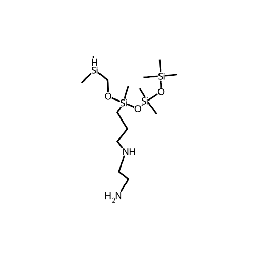 C[SiH](C)CO[Si](C)(CCCNCCN)O[Si](C)(C)O[Si](C)(C)C